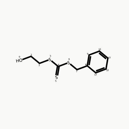 OCCSC(=S)SCc1ccccc1